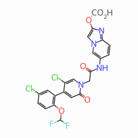 O=C(Cn1cc(Cl)c(-c2cc(Cl)ccc2OC(F)F)cc1=O)Nc1ccc2nc(OC(=O)O)cn2c1